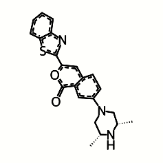 C[C@@H]1CN(c2ccc3cc(-c4nc5ccccc5s4)oc(=O)c3c2)C[C@H](C)N1